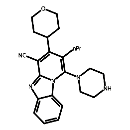 CCCc1c(C2CCOCC2)c(C#N)c2nc3ccccc3n2c1N1CCNCC1